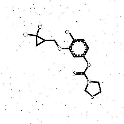 S=C(Oc1ccc(Cl)c(OCC2CC2(Cl)Cl)c1)N1CCSC1